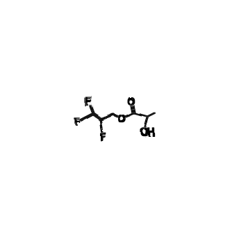 CC(O)C(=O)OCC(F)C(F)F